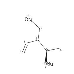 C=CC(CN=O)[C@@H](C)CCCC